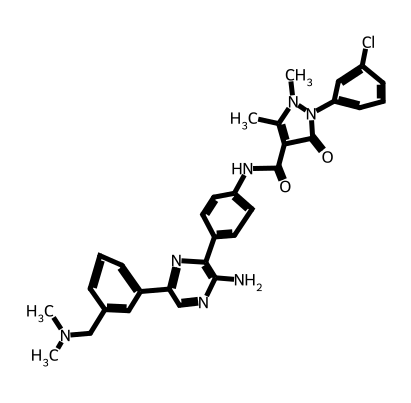 Cc1c(C(=O)Nc2ccc(-c3nc(-c4cccc(CN(C)C)c4)cnc3N)cc2)c(=O)n(-c2cccc(Cl)c2)n1C